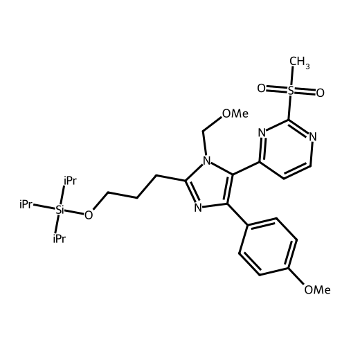 COCn1c(CCCO[Si](C(C)C)(C(C)C)C(C)C)nc(-c2ccc(OC)cc2)c1-c1ccnc(S(C)(=O)=O)n1